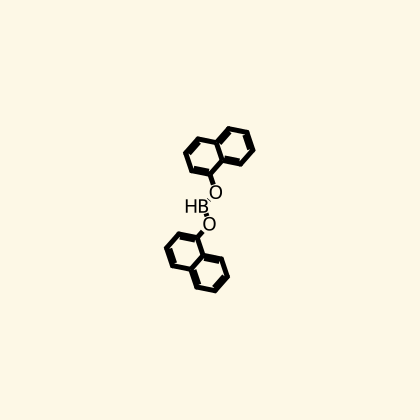 B(Oc1cccc2ccccc12)Oc1cccc2ccccc12